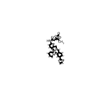 Cc1oc(=O)oc1CC(Nc1cccc(CN(Cc2ccc(-c3nccs3)cc2)S(=O)(=O)c2ccccn2)n1)C(=O)O